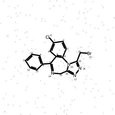 Clc1ccc2c(c1)C(c1ccccc1)=NCc1nnc(CBr)n1-2